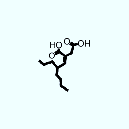 CCCCC(C=C(CC(=O)O)C(=O)O)CCC